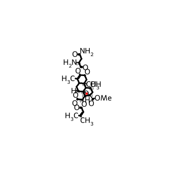 COC(=O)[C@@]12C[C@H](O)C3[C@@]4(C)CC(=O)C(OC(=O)[C@@H](N)CC(N)=O)=C(C)C4C[C@H]4OC(=O)[C@H](OC(=O)C=C(C)C)[C@@H]1[C@@]34CO2